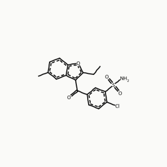 CCc1oc2ccc(C)cc2c1C(=O)c1ccc(Cl)c(S(N)(=O)=O)c1